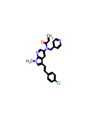 C=CC(=O)N(Cc1ccncc1)c1cnc2c(c1)c(/C=C/c1ccc(Cl)cc1)cn2C